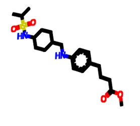 COC(=O)CCCc1ccc(NCC2CCC(NS(=O)(=O)C(C)C)CC2)cc1